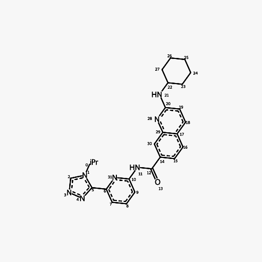 CC(C)n1cnnc1-c1cccc(NC(=O)c2ccc3ccc(NC4CCCCC4)nc3c2)n1